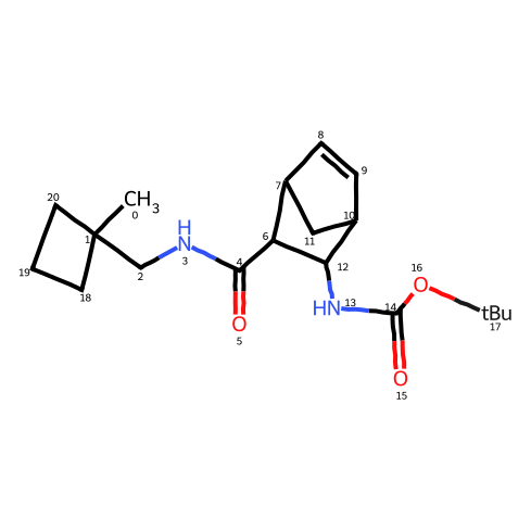 CC1(CNC(=O)C2C3C=CC(C3)C2NC(=O)OC(C)(C)C)CCC1